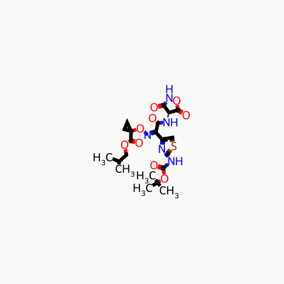 CC(C)COC(=O)C1(O/N=C(\C(=O)N[C@@H]2C(=O)NOC2=O)c2csc(NC(=O)OC(C)(C)C)n2)CC1